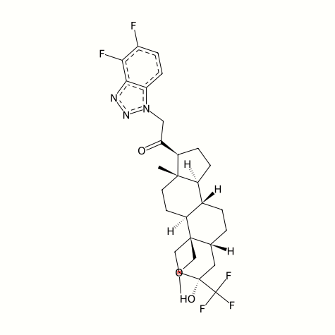 COC[C@]12CC[C@](O)(C(F)(F)F)C[C@H]1CC[C@H]1[C@@H]3CC[C@H](C(=O)Cn4nnc5c(F)c(F)ccc54)[C@@]3(C)CC[C@@H]12